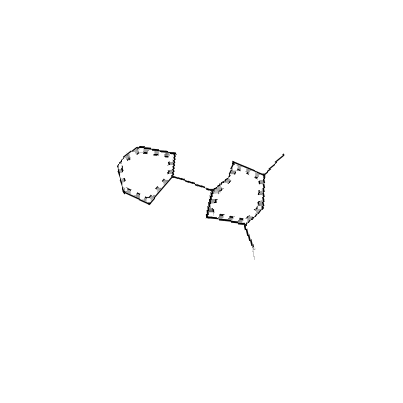 Cc1cc(F)cc(-c2ccccc2)c1